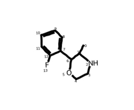 CC1NCCOC1c1ccccc1F